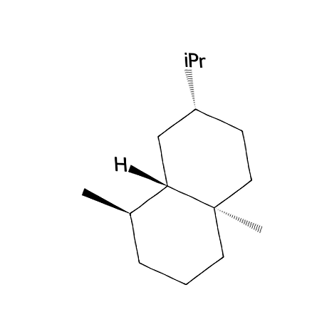 CC(C)[C@@H]1CC[C@@]2(C)CCC[C@@H](C)[C@@H]2C1